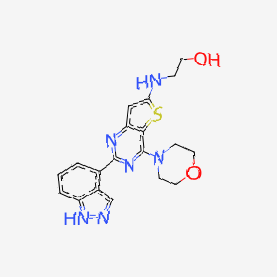 OCCNc1cc2nc(-c3cccc4[nH]ncc34)nc(N3CCOCC3)c2s1